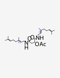 CC(=O)OC(CC(=O)NC/C=C(\C)CCC=C(C)C)C(=O)NC/C=C(\C)CCC=C(C)C